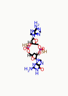 Nc1nc2c(ncn2[C@@H]2O[C@@H]3COP(=O)(S)O[C@H]4C[C@H](n5cnc6c(N)ncnc65)OC4COP(=O)(S)O[C@@H]2C3)c(=O)[nH]1